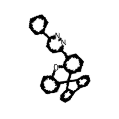 c1ccc(-c2ccc(-c3cccc4c3Oc3ccccc3C43c4ccccc4-c4ccccc43)nn2)cc1